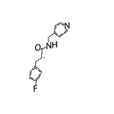 O=C([CH]Cc1ccc(F)cc1)NCc1ccncc1